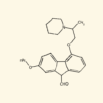 CCCOc1ccc2c(c1)C(C=O)c1cccc(OCC(C)N3CCCCC3)c1-2